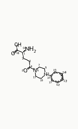 N[C@@H](CCC(=O)N1CCN(c2ccccc2)CC1)C(=O)O